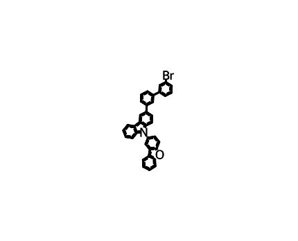 Brc1cccc(-c2cccc(-c3ccc4c(c3)c3ccccc3n4-c3ccc4oc5ccccc5c4c3)c2)c1